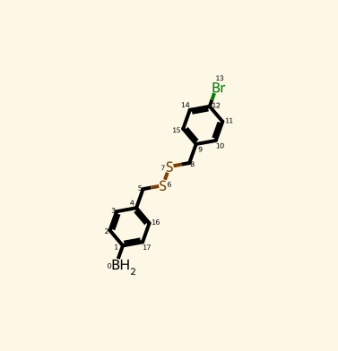 Bc1ccc(CSSCc2ccc(Br)cc2)cc1